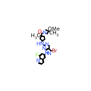 COC1(C)CN(C(=O)[C@]2(C)CC[C@@H](Nc3ncc4c(Br)nn(-c5cc(F)c6ncccc6c5)c4n3)C2)C1